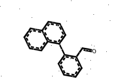 O=[C]c1ccccc1-c1cccc2ccccc12